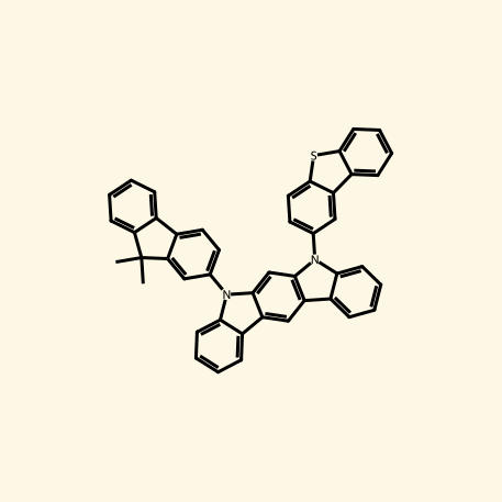 CC1(C)c2ccccc2-c2ccc(-n3c4ccccc4c4cc5c6ccccc6n(-c6ccc7sc8ccccc8c7c6)c5cc43)cc21